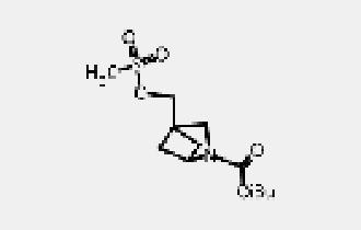 CC(C)COC(=O)N1CC2(COS(C)(=O)=O)CC1C2